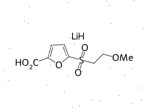 COCCS(=O)(=O)c1ccc(C(=O)O)o1.[LiH]